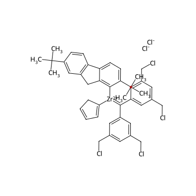 CC(C)(C)c1ccc2c(c1)Cc1c-2ccc(C(C)(C)C)[c]1[Zr+2]([C]1=CC=CC1)=[C](c1cc(CCl)cc(CCl)c1)c1cc(CCl)cc(CCl)c1.[Cl-].[Cl-]